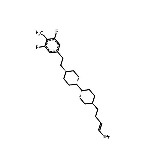 CCC/C=C/CC[C@H]1CC[C@H]([C@H]2CC[C@H](CCc3cc(F)c(C(F)(F)F)c(F)c3)CC2)CC1